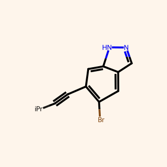 CC(C)C#Cc1cc2[nH]ncc2cc1Br